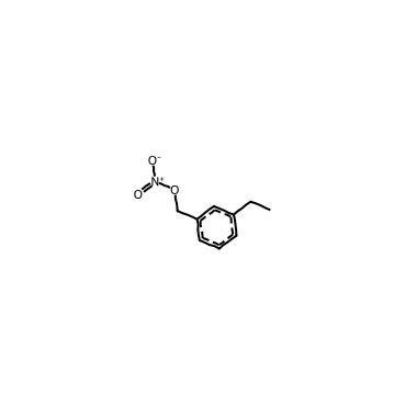 CCc1cccc(CO[N+](=O)[O-])c1